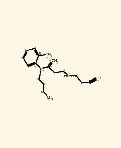 C#CCCNCCC(=C)N(CCCC)c1ccccc1C